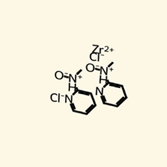 C[NH+]([O-])c1ccccn1.C[NH+]([O-])c1ccccn1.[Cl-].[Cl-].[Zr+2]